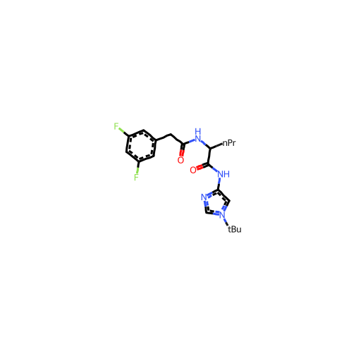 CCCC(NC(=O)Cc1cc(F)cc(F)c1)C(=O)Nc1cn(C(C)(C)C)cn1